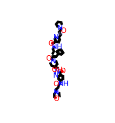 O=C(CCN1CCOCC1)Nc1ccc2c(=O)n(CC3(O)CCN(C(=O)[C@@H](CCCNC(=O)c4ccc(/C=C/C(=O)N5CCCCC5)nc4)Cc4ccccc4)CC3)cnc2c1